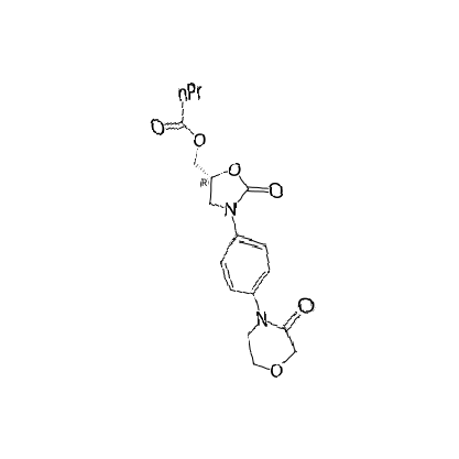 CCCC(=O)OC[C@H]1CN(c2ccc(N3CCOCC3=O)cc2)C(=O)O1